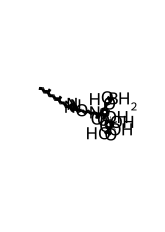 BC(=O)OCc1ccc(O[C@@H]2O[C@H](C(=O)O)[C@@H](O)[C@H](O)[C@H]2O)c(C(=O)NCCCOCc2cn(CCC/C(C)=C/CC/C(C)=C/CC)nn2)c1